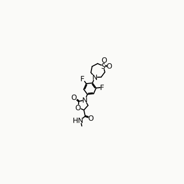 CNC(=O)C1CN(c2cc(F)c(N3CCCS(=O)(=O)CC3)c(F)c2)C(=O)O1